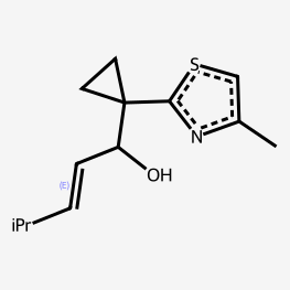 Cc1csc(C2(C(O)/C=C/C(C)C)CC2)n1